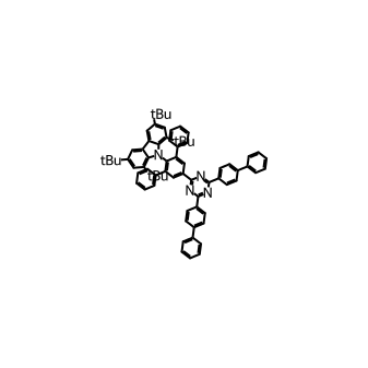 CC(C)(C)c1cc(C(C)(C)C)c2c(c1)c1cc(C(C)(C)C)cc(C(C)(C)C)c1n2-c1c(-c2ccccc2)cc(-c2nc(-c3ccc(-c4ccccc4)cc3)nc(-c3ccc(-c4ccccc4)cc3)n2)cc1-c1ccccc1